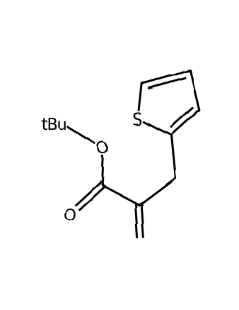 C=C(Cc1cccs1)C(=O)OC(C)(C)C